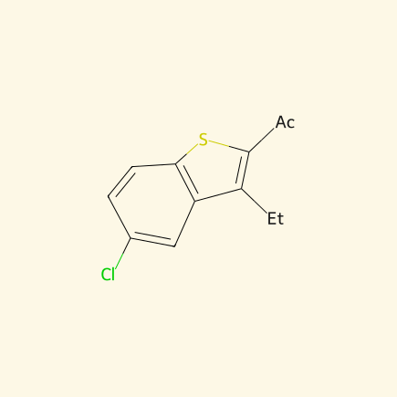 CCc1c(C(C)=O)sc2ccc(Cl)cc12